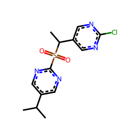 CC(C)c1cnc(S(=O)(=O)C(C)c2cnc(Cl)nc2)nc1